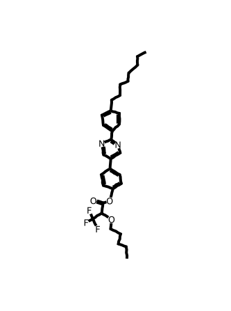 CCCCCCCCc1ccc(-c2ncc(-c3ccc(OC(=O)C(OCCCCC)C(F)(F)F)cc3)cn2)cc1